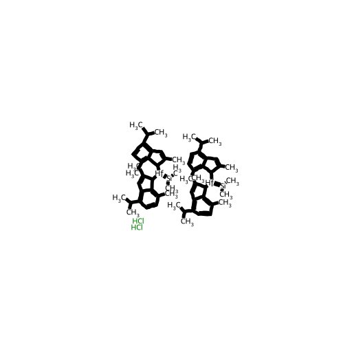 CC1=Cc2c(C(C)C)ccc(C)c2[CH]1[Hf]([CH]1C(C)=Cc2c(C(C)C)ccc(C)c21)=[Si](C)C.CC1=Cc2c(C(C)C)ccc(C)c2[CH]1[Hf]([CH]1C(C)=Cc2c(C(C)C)ccc(C)c21)=[Si](C)C.Cl.Cl